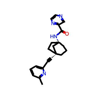 Cc1cccc(C#C[C@]23CCC[C@](NC(=O)c4cnccn4)(CC2)C3)n1